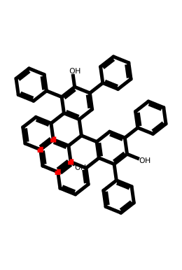 Oc1ccccc1C(c1cc(-c2ccccc2)c(O)c(-c2ccccc2)c1-c1ccccc1)c1cc(-c2ccccc2)c(O)c(-c2ccccc2)c1-c1ccccc1